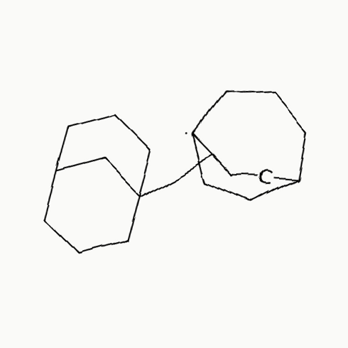 C1C[C]2CCC(C1)CCC2C12CCCC(CCC1)C2